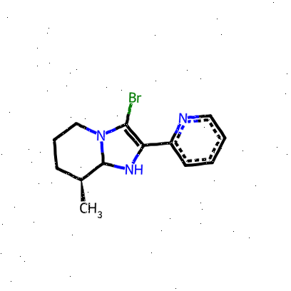 C[C@H]1CCCN2C(Br)=C(c3ccccn3)NC12